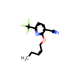 CC/C=C\COc1nc(C(F)(F)F)ccc1C#N